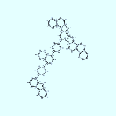 c1ccc2c(c1)ccc1c2ccc2c1nc1c3sc4ccc5ccccc5c4c3cc(-c3ccc(-c4ccc(-c5ccc(-c6cccc7c6sc6ccccc67)cc5)c5ccccc45)cc3)n21